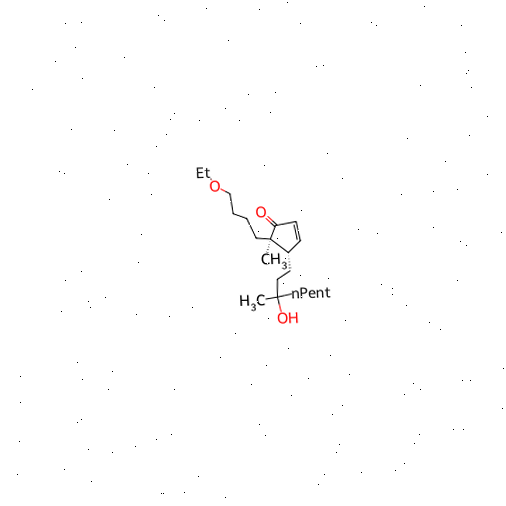 CCCCCC(C)(O)CC[C@H]1C=CC(=O)[C@]1(C)CCCCOCC